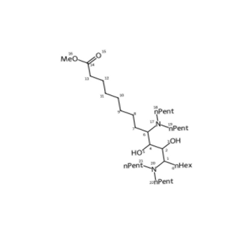 CCCCCCC(C(O)C(O)C(CCCCCCCC(=O)OC)N(CCCCC)CCCCC)N(CCCCC)CCCCC